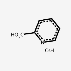 O=C(O)c1ccccn1.[CsH]